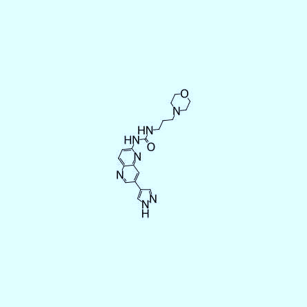 O=C(NCCCN1CCOCC1)Nc1ccc2ncc(-c3cn[nH]c3)cc2n1